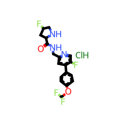 Cl.O=C(NCc1cc(-c2ccc(OC(F)F)cc2)c(F)cn1)C1CC(F)CN1